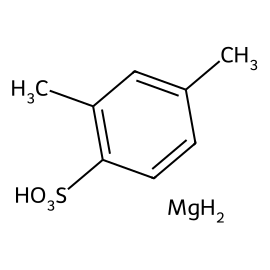 Cc1ccc(S(=O)(=O)O)c(C)c1.[MgH2]